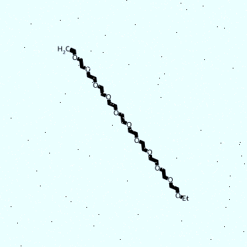 [CH2]COCCOCCOCCOCCOCCOCCOCCOCCOCCOCCOC=C